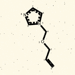 C=CCOCn1ccnc1